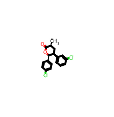 C[C@H]1CC(c2cccc(Cl)c2)[C@@H](c2ccc(Cl)cc2)OC1=O